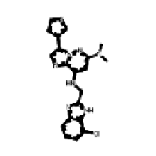 CN(C)c1cc(NCc2nc3cccc(Cl)c3[nH]2)c2ncc(-c3ccsc3)n2n1